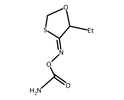 CCC1OCSC1=NOC(N)=O